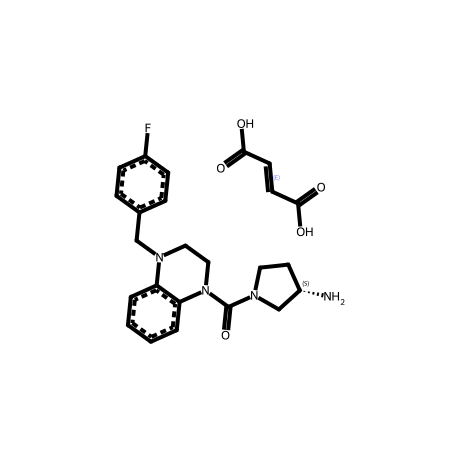 N[C@H]1CCN(C(=O)N2CCN(Cc3ccc(F)cc3)c3ccccc32)C1.O=C(O)/C=C/C(=O)O